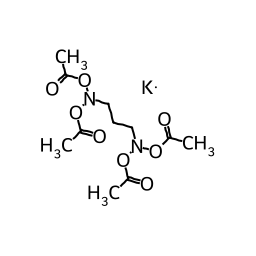 CC(=O)ON(CCCN(OC(C)=O)OC(C)=O)OC(C)=O.[K]